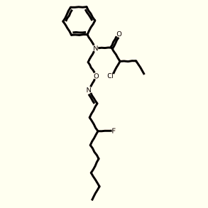 CCCCCC(F)CC=NOCN(C(=O)C(Cl)CC)c1ccccc1